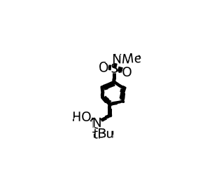 CNS(=O)(=O)c1ccc(CN(O)C(C)(C)C)cc1